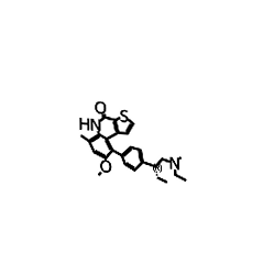 CC[C@@H](CN(C)CC)c1ccc(-c2c(OC)cc(C)c3[nH]c(=O)c4sccc4c23)cc1